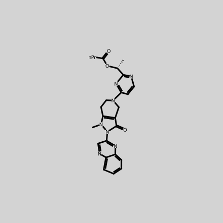 CCCC(=O)O[C@H](C)c1nccc(N2CCc3c(c(=O)n(-c4cnc5ccccc5n4)n3C)C2)n1